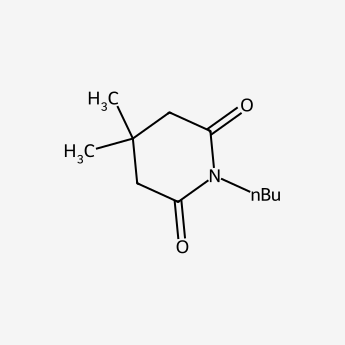 [CH2]CCCN1C(=O)CC(C)(C)CC1=O